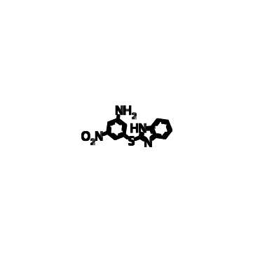 Nc1cc(Sc2nc3ccccc3[nH]2)cc([N+](=O)[O-])c1